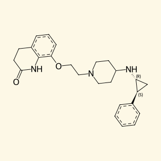 O=C1CCc2cccc(OCCN3CCC(N[C@@H]4C[C@H]4c4ccccc4)CC3)c2N1